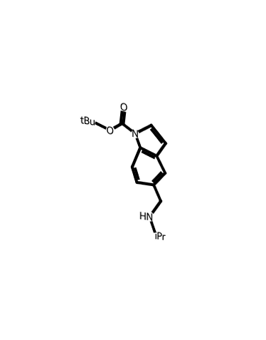 CC(C)NCc1ccc2c(ccn2C(=O)OC(C)(C)C)c1